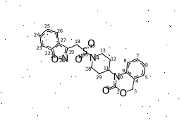 O=C1OCc2ccccc2N1C1CCN(S(=O)(=O)Cc2noc3ccccc23)CC1